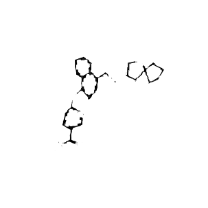 NC(=O)c1ccc(Oc2ccc(CN[C@@H]3COC4(CCCC4)C3)c3ccccc23)nc1